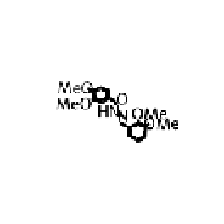 COc1ccc(C(=O)NN=Cc2cccc(OC)c2OC)cc1OC